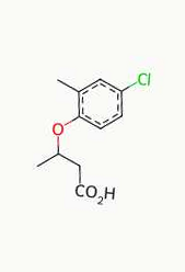 Cc1cc(Cl)ccc1OC(C)CC(=O)O